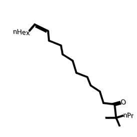 CCCCCC/C=C\CCCCCCCCCC(=O)C(C)(C)CCC